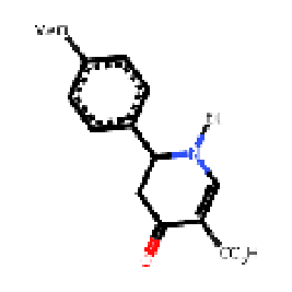 CCN1C=C(C(=O)O)C(=O)CC1c1ccc(OC)cc1